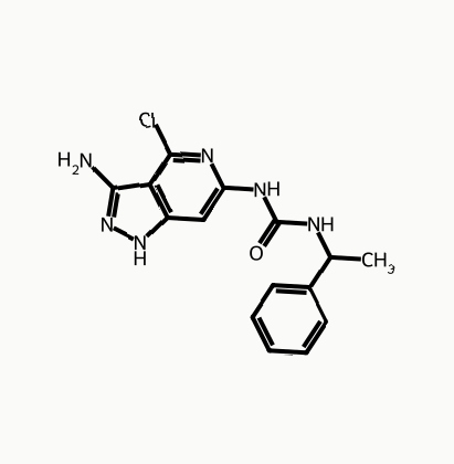 CC(NC(=O)Nc1cc2[nH]nc(N)c2c(Cl)n1)c1ccccc1